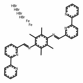 Br.Br.Br.Br.Cc1c(C)c(N=Cc2cccc(-c3ccccn3)n2)c(C)c(C)c1N=Cc1cccc(-c2ccccn2)n1.[Fe].[Fe]